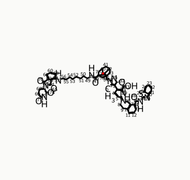 Cc1c(-c2ccc(N3CCc4cccc(C(O)Nc5nc6ccccc6s5)c4C3)nc2C(=O)O)cnn1CC12CC3CC(C1)CC(C(=O)NCCCCCCCCNc1cccc4c1C(=O)N(C1CCC(=O)NC1=O)C4=O)(C3)C2